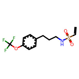 C=CS(=O)(=O)NCCCc1ccc(OC(F)(F)F)cc1